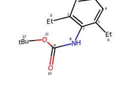 CCc1cccc(CC)c1NC(=O)OC(C)(C)C